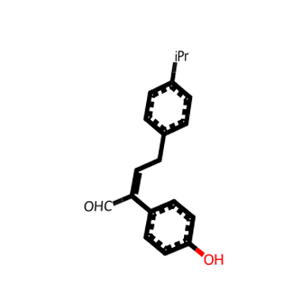 CC(C)c1ccc(CC=C(C=O)c2ccc(O)cc2)cc1